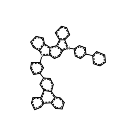 c1ccc(-c2ccc(-n3c4ccccc4c4c5c6ccccc6n(-c6cccc(-c7ccc8c9ccccc9c9ccccc9c8c7)c6)c5ccc43)cc2)cc1